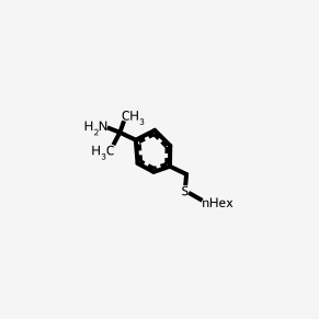 CCCCCCSCc1ccc(C(C)(C)N)cc1